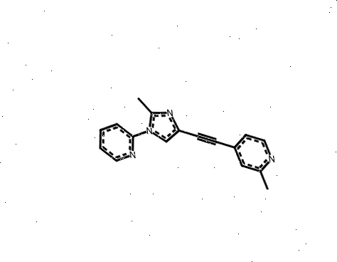 Cc1cc(C#Cc2cn(-c3ccccn3)c(C)n2)ccn1